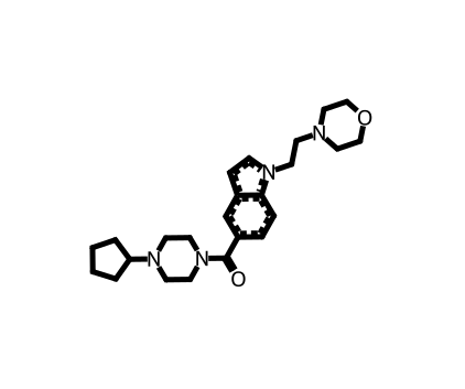 O=C(c1ccc2c(ccn2CCN2CCOCC2)c1)N1CCN(C2CCCC2)CC1